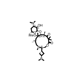 CO[C@]1(C)C[C@@H](C)CN(C)[C@H]([C@H]2C[C@H](N(C)C)C2)COC(=O)C(C)(C)C(=O)[C@H](C)[C@H]1O[C@@H]1O[C@H](C)C[C@H](N(C)C)[C@H]1O